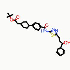 CC(C)(C)OC(=O)CC1CCC(c2ccc(C(=O)Nc3nnc(CCC(O)c4ccccc4)s3)cc2)CC1